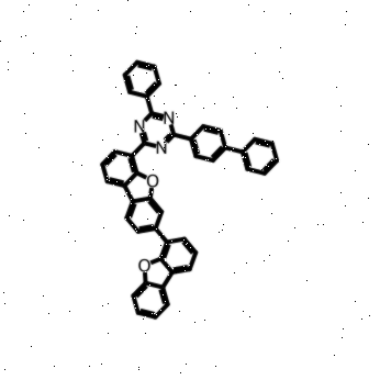 c1ccc(-c2ccc(-c3nc(-c4ccccc4)nc(-c4cccc5c4oc4cc(-c6cccc7c6oc6ccccc67)ccc45)n3)cc2)cc1